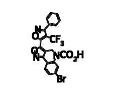 O=C(O)N1Cc2c(noc2-c2onc(-c3ccccc3)c2C(F)(F)F)-c2ccc(Br)cc21